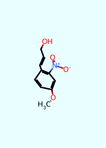 COc1ccc(/C=C/CO)c([N+](=O)[O-])c1